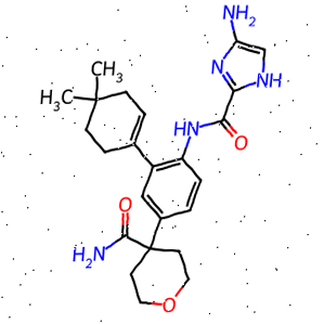 CC1(C)CC=C(c2cc(C3(C(N)=O)CCOCC3)ccc2NC(=O)c2nc(N)c[nH]2)CC1